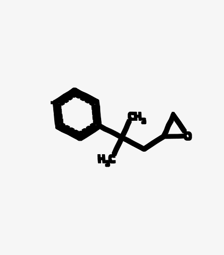 CC(C)(CC1CO1)c1cc[c]cc1